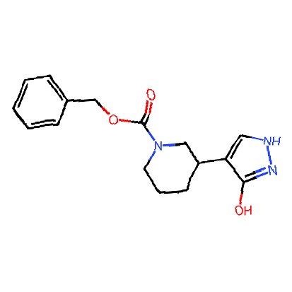 O=C(OCc1ccccc1)N1CCCC(c2c[nH]nc2O)C1